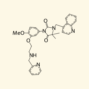 COc1ccc(N2C(=O)N(Cc3ccnc4ccccc34)C(C)(C)C2=O)cc1OCCNCc1ccccn1